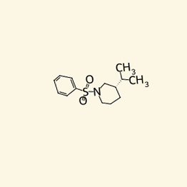 CC(C)[C@@H]1CCCN(S(=O)(=O)c2ccccc2)C1